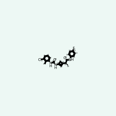 Cc1c(Cl)cccc1NC(=O)NC12CC([C@H](C)C(=O)Nc3ccc(F)cc3)(C1)C2